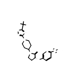 CS(=O)(=O)c1ccc(O[C@H]2CCN(C3CCN(c4noc(C(F)(F)F)n4)CC3)C2=O)cn1